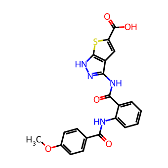 COc1ccc(C(=O)Nc2ccccc2C(=O)Nc2n[nH]c3sc(C(=O)O)cc23)cc1